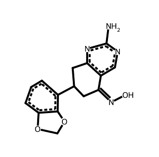 Nc1ncc2c(n1)CC(c1cccc3c1OCO3)C/C2=N/O